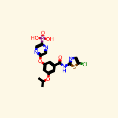 CC(C)Oc1cc(Oc2cnc(P(=O)(O)O)cn2)cc(C(=O)Nc2ncc(Cl)s2)c1